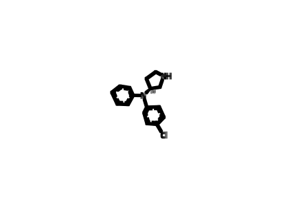 Clc1ccc(N(c2ccccc2)[C@H]2CCNC2)cc1